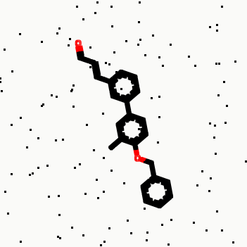 Cc1cc(-c2cccc(C=CC=O)c2)ccc1OCc1ccccc1